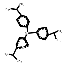 CC(C)c1cc[c]([Sb]([c]2ccc(C(C)C)cc2)[c]2ccc(C(C)C)cc2)cc1